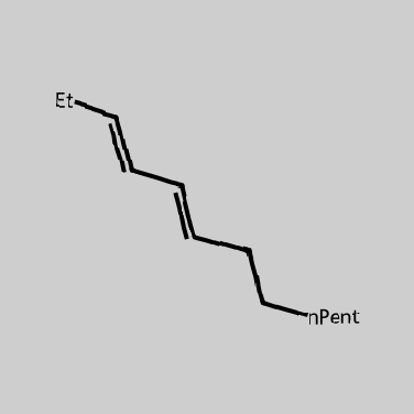 CCC=CC=CCCCCCCC